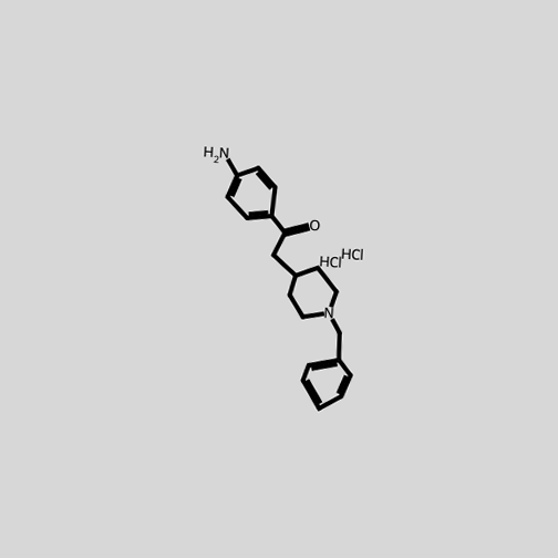 Cl.Cl.Nc1ccc(C(=O)CC2CCN(Cc3ccccc3)CC2)cc1